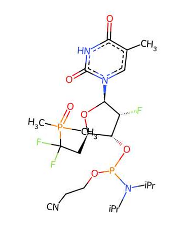 [C-]#[N+]CCOP(O[C@H]1[C@@H](F)[C@H](n2cc(C)c(=O)[nH]c2=O)O[C@@H]1CC(F)(F)P(C)(C)=O)N(C(C)C)C(C)C